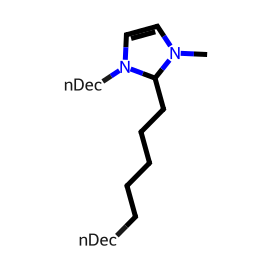 CCCCCCCCCCCCCCCC1N(C)C=CN1CCCCCCCCCC